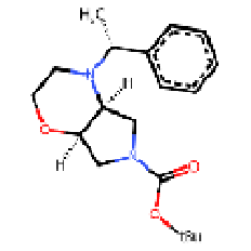 C[C@H](c1ccccc1)N1CCO[C@@H]2CN(C(=O)OC(C)(C)C)C[C@@H]21